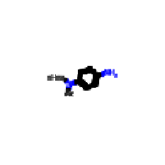 CCCCCCN(C(C)=O)c1ccc(N)cc1